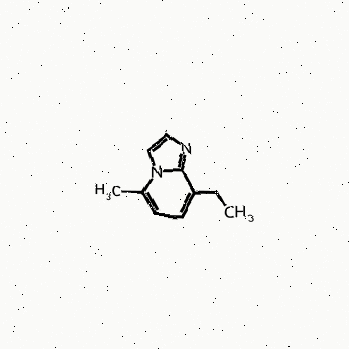 CCc1ccc(C)n2c[c]nc12